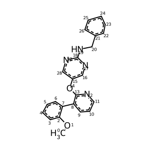 COc1ccccc1-c1cccnc1Oc1cnc(NCc2ccccc2)nc1